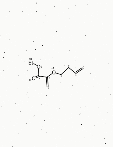 C=CCCOC(=C)C(=O)OCC